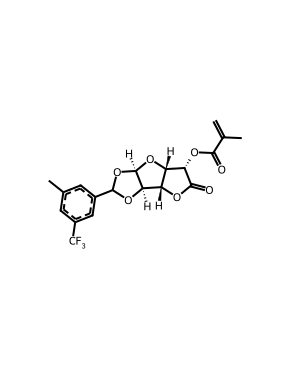 C=C(C)C(=O)O[C@@H]1C(=O)O[C@@H]2[C@H]3OC(c4cc(C)cc(C(F)(F)F)c4)O[C@H]3O[C@@H]21